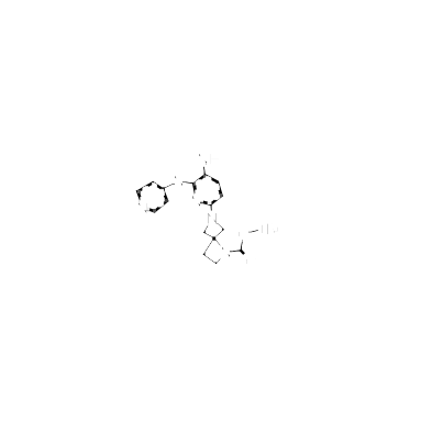 CC(C)(C)OC(=O)N1CCC12CN(c1ccc(N)c(Nc3ccncc3)n1)C2